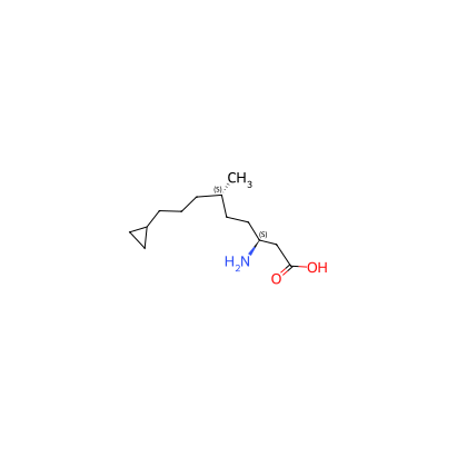 C[C@@H](CCCC1CC1)CC[C@H](N)CC(=O)O